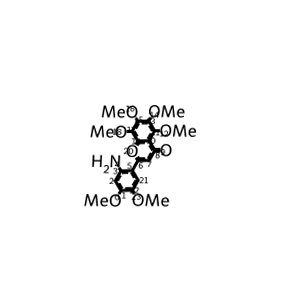 COc1cc(N)c(-c2cc(=O)c3c(OC)c(OC)c(OC)c(OC)c3o2)cc1OC